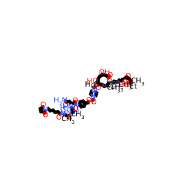 CC[C@H](O)[C@@H](C)[C@H]1O[C@@H]1CC(C)(O)/C=C/C=C(\C)[C@H]1OC(=O)C[C@H](O)CC[C@@](C)(O)[C@@H](OC(=O)N2CCN(C(=O)OCc3ccc(NC(=O)C(CC(N)=O)NC(=O)C(C)NC(=O)C(C)NC(=O)CCCCCN4C(=O)C=CC4=O)cc3)CC2)/C=C/[C@@H]1C